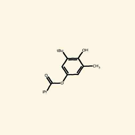 Cc1cc(OC(=O)C(C)C)cc(C(C)(C)C)c1O